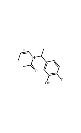 C/C=C\N(C(C)=O)C(C)c1ccc(F)c(O)c1